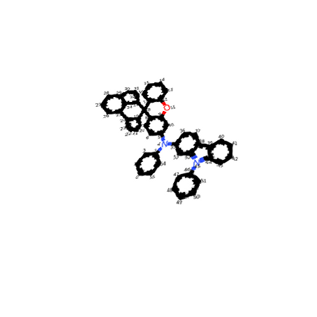 c1ccc(N(c2ccc3c(c2)Oc2ccccc2C32c3ccccc3-c3cccc4cccc2c34)c2ccc3c4ccccc4n(-c4ccccc4)c3c2)cc1